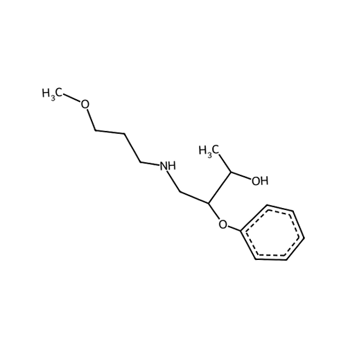 COCCCNCC(Oc1ccccc1)C(C)O